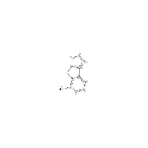 Brc1cccc2c1Cc1ccoc1-2